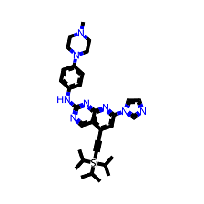 CC(C)[Si](C#Cc1cc(-n2ccnc2)nc2nc(Nc3ccc(N4CCN(C)CC4)cc3)ncc12)(C(C)C)C(C)C